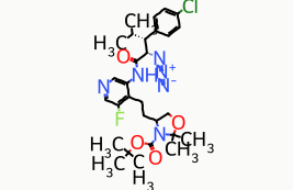 CC(C)[C@H](c1ccc(Cl)cc1)[C@H](N=[N+]=[N-])C(=O)Nc1cncc(F)c1CCC1COC(C)(C)N1C(=O)OC(C)(C)C